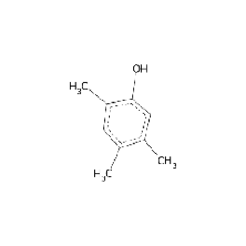 Cc1cc(C)c(O)cc1C